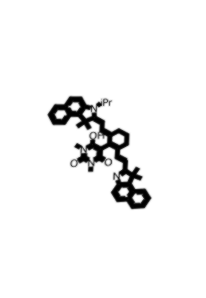 CC(C)N1/C(=C/C=C2\CCCC(/C=C/C3=Nc4ccc5ccccc5c4C3(C)C)=C2c2c(O)n(C)c(=O)n(C)c2=O)C(C)(C)c2c1ccc1ccccc21